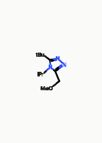 COCc1nnc(C(C)(C)C)n1C(C)C